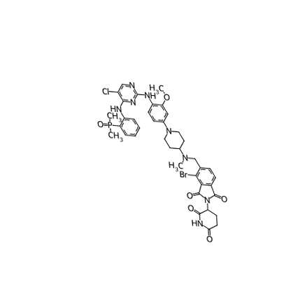 COc1cc(N2CCC(N(C)Cc3ccc4c(c3Br)C(=O)N(C3CCC(=O)NC3=O)C4=O)CC2)ccc1Nc1ncc(Cl)c(Nc2ccccc2P(C)(C)=O)n1